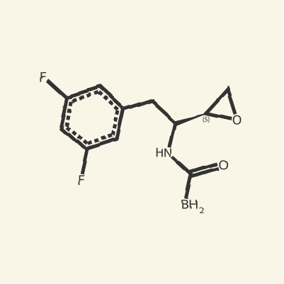 BC(=O)NC(Cc1cc(F)cc(F)c1)[C@H]1CO1